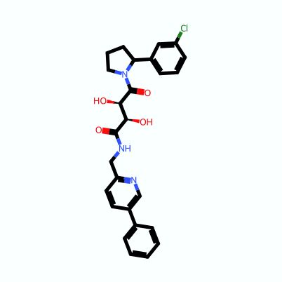 O=C(NCc1ccc(-c2ccccc2)cn1)[C@H](O)[C@@H](O)C(=O)N1CCCC1c1cccc(Cl)c1